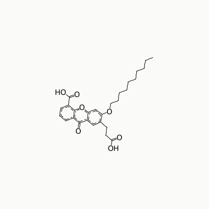 CCCCCCCCCCOc1cc2oc3c(C(=O)O)cccc3c(=O)c2cc1CCC(=O)O